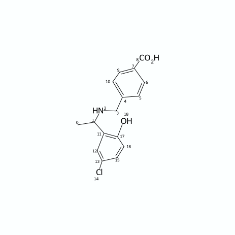 CC(NCc1ccc(C(=O)O)cc1)c1cc(Cl)ccc1O